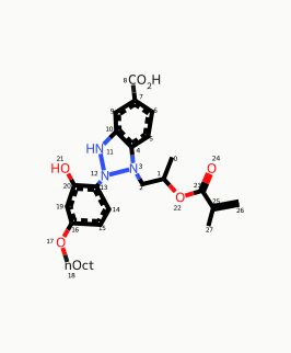 [CH2]C(CN1c2ccc(C(=O)O)cc2NN1c1ccc(OCCCCCCCC)cc1O)OC(=O)C(=C)C